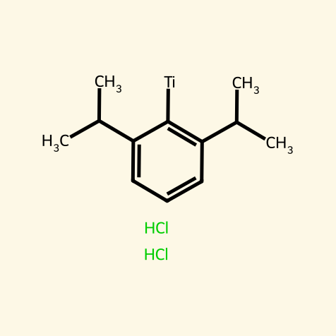 CC(C)c1cccc(C(C)C)[c]1[Ti].Cl.Cl